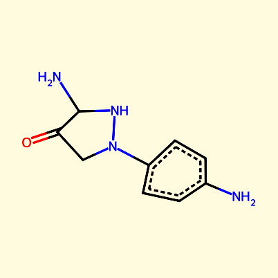 Nc1ccc(N2CC(=O)C(N)N2)cc1